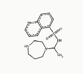 CC(NS(=O)(=O)c1cccc2ncccc12)N1CCCNCC1